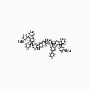 CC(C)(C)c1cccc(-n2c3ccccc3c3ccc(N(c4ccccc4)c4ccc5oc6cc7cc8c(cc7cc6c5c4)oc4ccc(N(c5ccc(-c6ccccc6)cc5)c5ccc6c7ccccc7n(-c7cccc(C(C)(C)C)c7)c6c5)cc48)cc32)c1